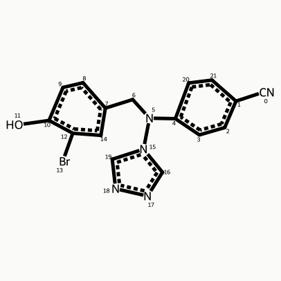 N#Cc1ccc(N(Cc2ccc(O)c(Br)c2)n2cnnc2)cc1